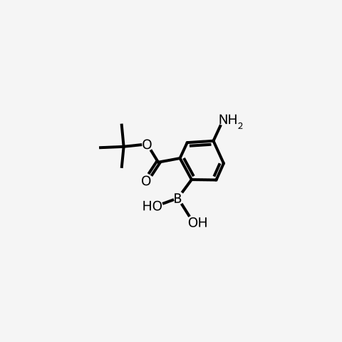 CC(C)(C)OC(=O)c1cc(N)ccc1B(O)O